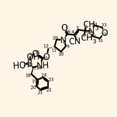 CC(C)(/C=C(\C#N)C(=O)N1CC[C@H](COC(=O)N[C@@H](Cc2ccccc2)B(O)O)C1)N1CCOCC1